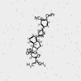 CC(C)Oc1ccc(-c2nnc(-c3cccc4c3CCCC4NS(=O)(=O)CC(=O)N(C)C)s2)cc1C#N